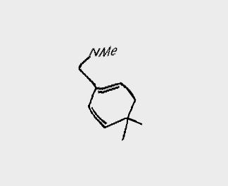 CNCC1=CCC(C)(C)C=C1